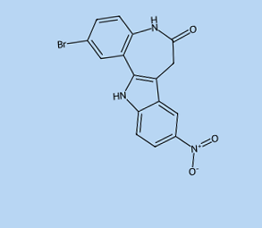 O=C1Cc2c([nH]c3ccc([N+](=O)[O-])cc23)-c2cc(Br)ccc2N1